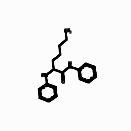 CCCCCC(Nc1ccccc1)C(=O)Nc1ccccc1